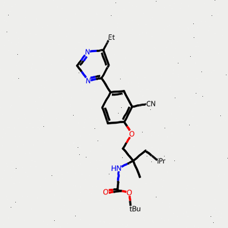 CCc1cc(-c2ccc(OCC(C)(CC(C)C)NC(=O)OC(C)(C)C)c(C#N)c2)ncn1